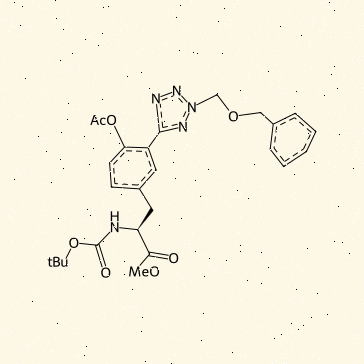 COC(=O)[C@H](Cc1ccc(OC(C)=O)c(-c2nnn(COCc3ccccc3)n2)c1)NC(=O)OC(C)(C)C